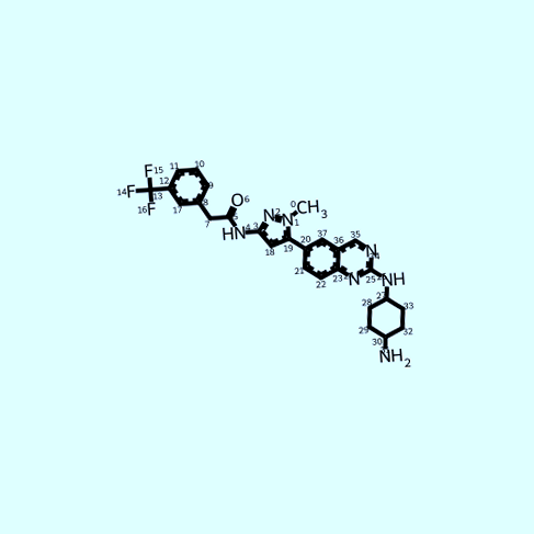 Cn1nc(NC(=O)Cc2cccc(C(F)(F)F)c2)cc1-c1ccc2nc(NC3CCC(N)CC3)ncc2c1